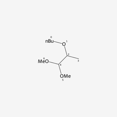 CCCCOC(C)C(OC)OC